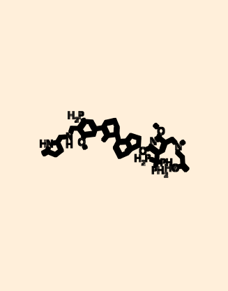 C=C(O)CCN(C)Cc1cc(C(P)(P)P)c(O[C@H]2CCc3c(-c4cccc(-c5cc(P)c(CNCC6CCC(=C)N6)c(OC)c5)c4C)cccc32)nc1OC